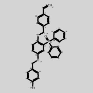 C=Cc1ccc(COc2ccc(OCc3ccc(CC)cc3)cc2P(=O)(c2ccccc2)c2ccccc2)cc1